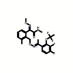 CNC(=O)/C(=N/OC)c1cccc(C)c1CO/N=C(\C)c1ccc(F)c(F)c1OC(C)(F)F